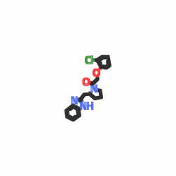 O=C(COc1ccccc1Cl)N1CCCC1Cc1nc2ccccc2[nH]1